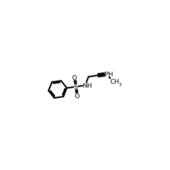 C[PH]#CCNS(=O)(=O)c1ccccc1